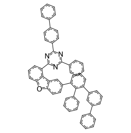 c1ccc(-c2ccc(-c3nc(-c4ccccc4)nc(-c4cccc5oc6ccc(-c7cccc(-c8cccc(-c9ccccc9)c8)c7-c7ccccc7)cc6c45)n3)cc2)cc1